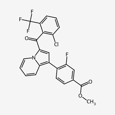 COC(=O)c1ccc(-c2cc(C(=O)c3c(Cl)cccc3C(F)(F)F)n3ccccc23)c(F)c1